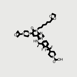 C[C@@H](Nc1ncnc2c1cc(N1CCN(C3COC3)CC1)c(=O)n2CCCCCCC1OCCO1)c1cccc(C(F)(F)C2CCN(C(=O)O)CC2)c1F